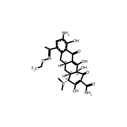 CC(=NOCC(F)(F)F)c1cc(N)c(O)c2c1C[C@H]1C[C@H]3[C@@H](N(C)C)C(O)=C(C(N)=O)C(=O)[C@@]3(O)C(O)=C1C2=O